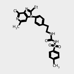 CCc1nc2c(Cl)nc(C)cc2n1-c1ccc(CCNC(=O)NS(=O)(=O)c2ccc(C)cc2)cc1